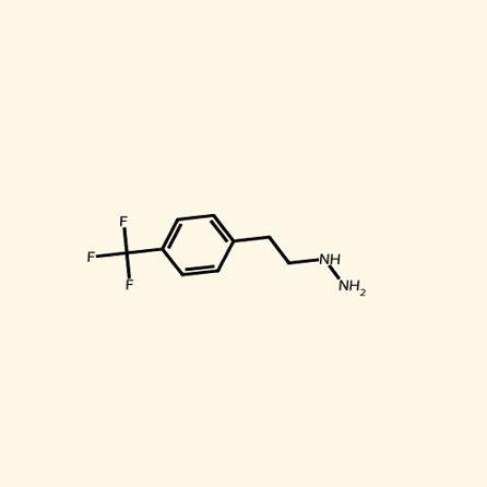 NNCCc1ccc(C(F)(F)F)cc1